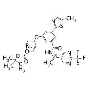 Cc1cnc(-c2cc(OC3C=C4OCC3CN4C(=O)OC(C)(C)C)cc(C(=O)N[C@H](C)c3cnc(C(F)(F)F)nc3)c2)s1